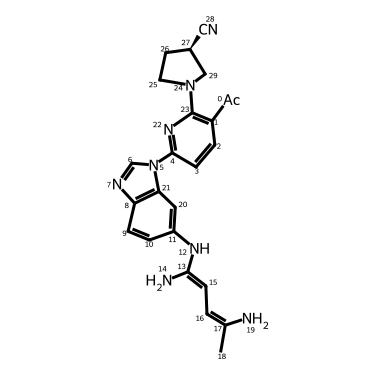 CC(=O)c1ccc(-n2cnc3ccc(N/C(N)=C/C=C(/C)N)cc32)nc1N1CC[C@@H](C#N)C1